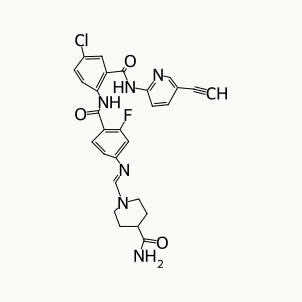 C#Cc1ccc(NC(=O)c2cc(Cl)ccc2NC(=O)c2ccc(N=CN3CCC(C(N)=O)CC3)cc2F)nc1